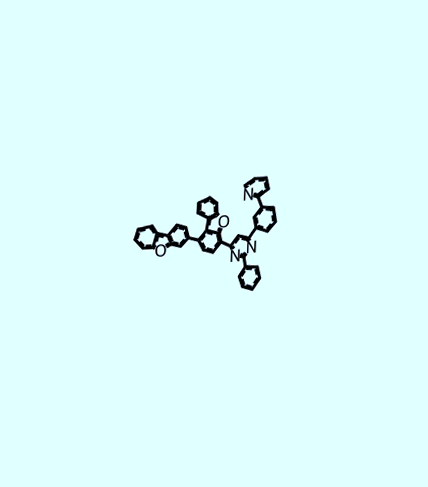 c1ccc(-c2nc(-c3cccc(-c4ccccn4)c3)cc(-c3ccc(-c4ccc5c(c4)oc4ccccc45)c4c3oc3ccccc34)n2)cc1